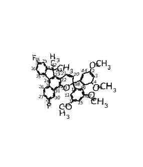 COC1=CC(OC)CC(C2(c3cc(OC)cc(OC)c3)C=Cc3c4c(c5ccc(F)cc5c3O2)-c2ccc(F)cc2C4(C)C)=C1